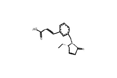 CC[C@H]1CCC(=O)N1Cc1cccc(/C=C/C(=O)O)c1